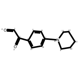 O=CC(=O)c1ccc(N2CCCCC2)cc1